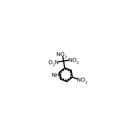 N.O=[N+]([O-])c1cccc(C([N+](=O)[O-])([N+](=O)[O-])[N+](=O)[O-])c1